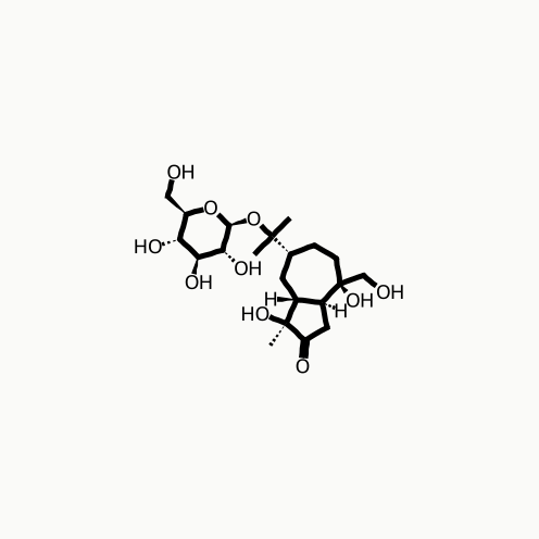 CC(C)(O[C@@H]1O[C@H](CO)[C@@H](O)[C@H](O)[C@H]1O)[C@@H]1CC[C@](O)(CO)[C@H]2CC(=O)[C@@](C)(O)[C@@H]2C1